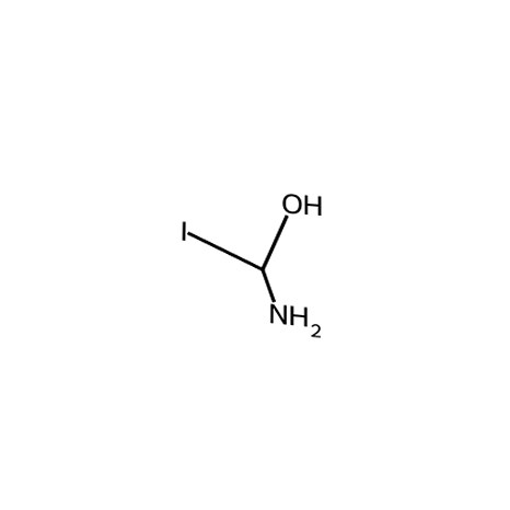 NC(O)I